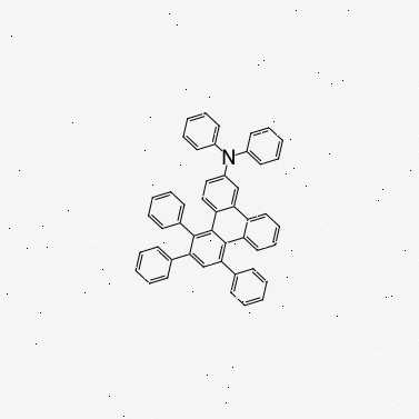 c1ccc(-c2cc(-c3ccccc3)c3c4ccccc4c4cc(N(c5ccccc5)c5ccccc5)ccc4c3c2-c2ccccc2)cc1